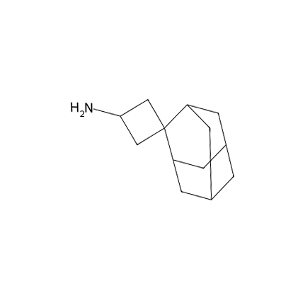 NC1CC2(C1)C1CC3CC(C1)CC2C3